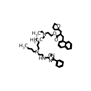 CCCCN(CCCC)CCNc1nc(-c2ccccc2)no1.CCN(CC)CCOC(=O)C(Cc1cccc2ccccc12)CC1CCCO1